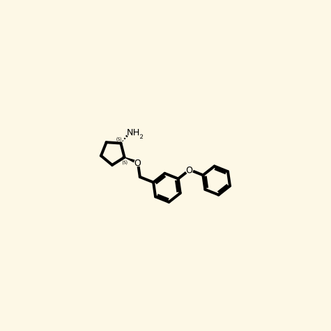 N[C@H]1CCC[C@@H]1OCc1cccc(Oc2ccccc2)c1